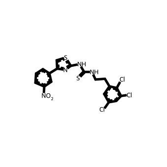 O=[N+]([O-])c1cccc(-c2csc(NC(=S)NCCc3cc(Cl)cc(Cl)c3Cl)n2)c1